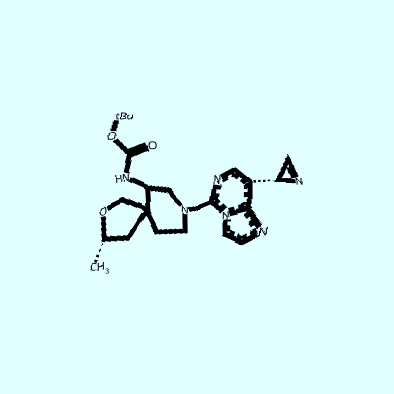 C[C@H]1CC2(CCN(c3ncc([C@@H]4C=N4)c4nccn34)CC2NC(=O)OC(C)(C)C)CO1